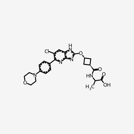 CC(NC(=O)[C@H]1C[C@@H](Oc2nc3nc(-c4ccc(N5CCOCC5)cc4)c(Cl)cc3[nH]2)C1)C(=O)O